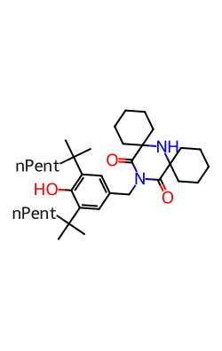 CCCCCC(C)(C)c1cc(CN2C(=O)C3(CCCCC3)NC3(CCCCC3)C2=O)cc(C(C)(C)CCCCC)c1O